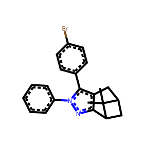 CC1(C)C2Cc3c(nn(-c4ccccc4)c3-c3ccc(Br)cc3)C1C2